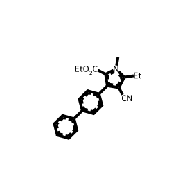 CCOC(=O)c1c(-c2ccc(-c3ccccc3)cc2)c(C#N)c(CC)n1C